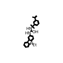 C=C(C)c1cccc(C(C)(C)NC(O)Nc2ccc3c(c2)c2ccccc2n3CC)c1